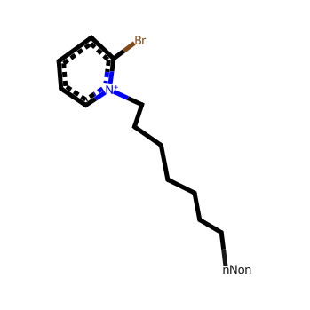 CCCCCCCCCCCCCCCC[n+]1ccccc1Br